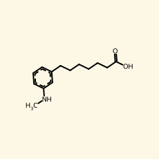 CNc1cccc(CCCCCCC(=O)O)c1